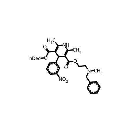 CCCCCCCCCCOC(=O)C1=C(C)NC(C)=C(C(=O)OCCN(C)Cc2ccccc2)C1c1cccc([N+](=O)[O-])c1